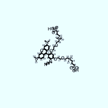 CN(C)c1ccc2c(-c3cc(N=[N+]=[N-])c(OCCOCC[N+](C)(C)CCCS(=O)(=O)O)cc3OCCOCC[N+](C)(C)CCCS(=O)(=O)O)c3ccc(=[N+](C)C)cc-3oc2c1